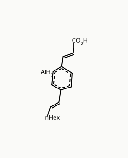 CCCCCCC=Cc1ccc(C=CC(=O)O)cc1.[AlH3]